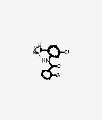 O=C(Nc1cc(Cl)ccc1-c1nnn[nH]1)c1ccccc1Br